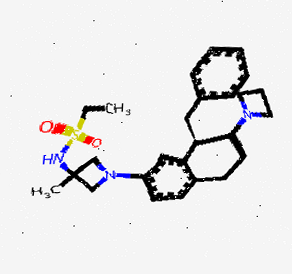 CCS(=O)(=O)NC1(C)CN(c2ccc3c(c2)[C@@H](Cc2ccccc2)C(N2CCC2)CC3)C1